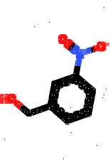 O=[N+]([O-])c1cc[c]c(CO)c1